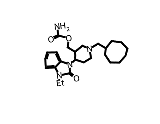 CCn1c(=O)n(C2CCN(CC3CCCCCCC3)CC2COC(N)=O)c2ccccc21